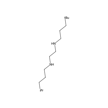 CC(C)CCCNCCNCCCC(C)(C)C